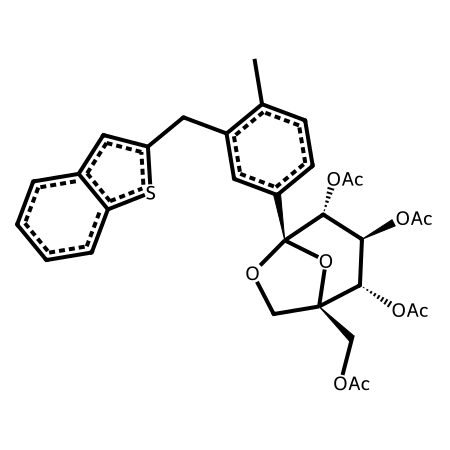 CC(=O)OC[C@@]12CO[C@@](c3ccc(C)c(Cc4cc5ccccc5s4)c3)(O1)[C@H](OC(C)=O)[C@@H](OC(C)=O)[C@@H]2OC(C)=O